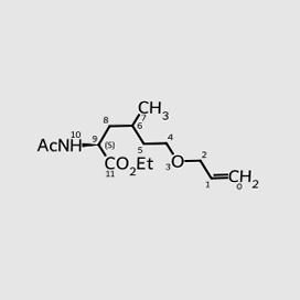 C=CCOCCC(C)C[C@H](NC(C)=O)C(=O)OCC